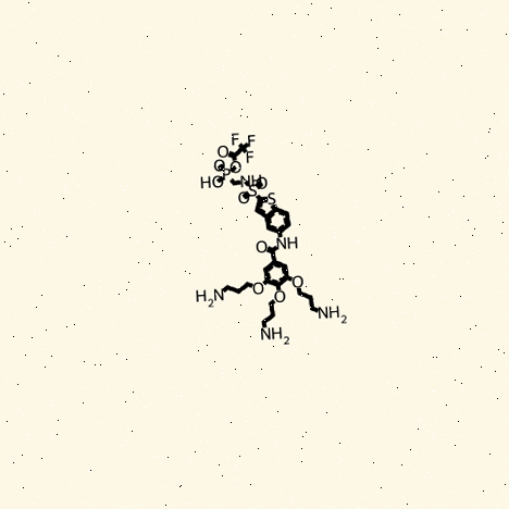 NCCCOc1cc(C(=O)Nc2ccc3sc(S(=O)(=O)NCP(=O)(O)OC(=O)C(F)(F)F)cc3c2)cc(OCCCN)c1OCCCN